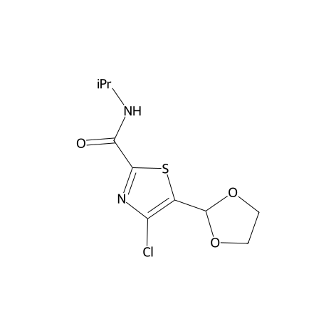 CC(C)NC(=O)c1nc(Cl)c(C2OCCO2)s1